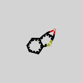 c1ccc2c3c(sc2c1)O3